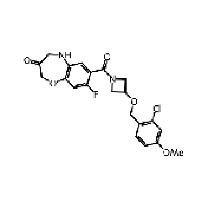 COc1ccc(COC2CN(C(=O)c3cc4c(cc3F)OCC(=O)CN4)C2)c(Cl)c1